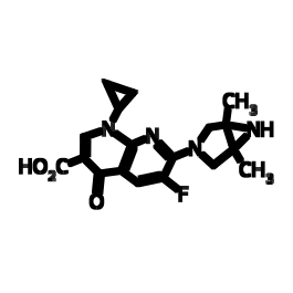 CC12CN(c3nc4c(cc3F)c(=O)c(C(=O)O)cn4C3CC3)CC1(C)N2